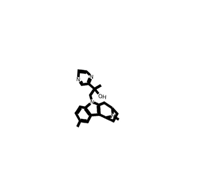 Cc1ccc2c(c1)c1c(n2CC(C)(O)c2cnccn2)CC2CCC1N2C